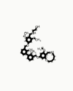 COc1cc(OCc2cccc(-c3cccc(COc4cc(OC)c5c(c4)OCCCCCNC5)c3C)c2C)cc(OC)c1CNCCO